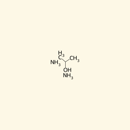 CC(C)O.N.N